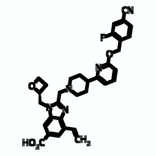 C=Cc1cc(C(=O)O)cc2c1nc(CN1CCC(c3cccc(OCc4ccc(C#N)cc4F)n3)CC1)n2C[C@@H]1CCO1